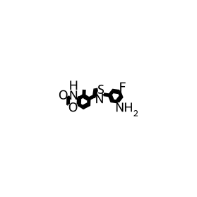 Cc1c(-c2csc(-c3cc(N)cc(F)c3)n2)ccc2c1NC(=O)CO2